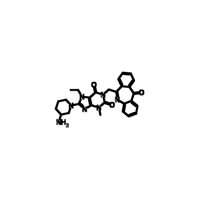 CCn1c(N2CCCC(N)C2)nc2c1c(=O)n(Cc1nc3ccccc3c(=O)c3ccccc13)c(=O)n2C